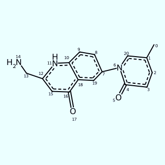 Cc1ccc(=O)n(-c2ccc3[nH]c(CN)cc(=O)c3c2)c1